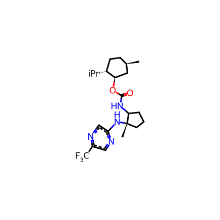 CC(C)[C@@H]1CC[C@@H](C)C[C@H]1OC(=O)NC1CCC[C@]1(C)Nc1cnc(C(F)(F)F)cn1